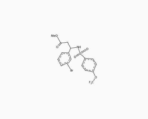 COC(=O)CC(NS(=O)(=O)c1ccc(OC(F)(F)F)cc1)c1cccc(Br)c1